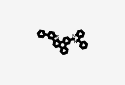 c1ccc(-c2ccc3sc4c(ccc5c6ccccc6c6cc(-c7nc(-c8ccccc8)c8ccccc8n7)ccc6c54)c3c2)cc1